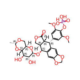 [2H][C@]12C(=O)OC[C@@H]1[C@H](O[C@@H]1O[C@@H]3CO[C@@H](C)O[C@H]3[C@H](O)[C@H]1O)c1cc3c(cc1[C@H]2c1cc(OC)c(OP(=O)(O)O)c(OC)c1)OCO3